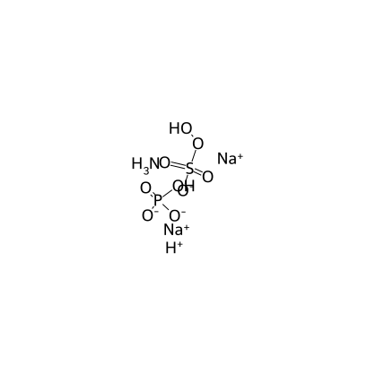 N.O=P([O-])([O-])O.O=S(=O)([O-])OO.[H+].[Na+].[Na+]